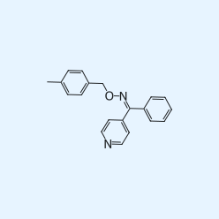 Cc1ccc(CON=C(c2ccccc2)c2ccncc2)cc1